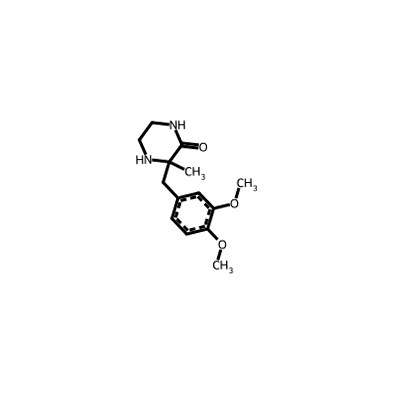 COc1ccc(CC2(C)NCCNC2=O)cc1OC